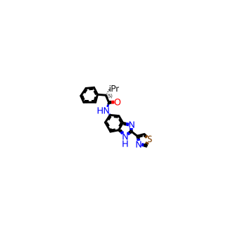 CC(C)[C@H](C(=O)Nc1ccc2[nH]c(-c3cscn3)nc2c1)c1ccccc1